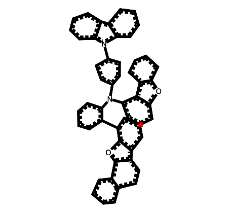 c1ccc(N(c2ccc(-n3c4ccccc4c4ccccc43)cc2)c2cccc3oc4ccccc4c23)c(-c2cccc3c2oc2c4ccccc4ccc32)c1